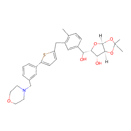 Cc1ccc(C(O)[C@@H]2O[C@H]3OC(C)(C)O[C@H]3[C@@H]2O)cc1Cc1ccc(-c2cccc(CN3CCOCC3)c2)s1